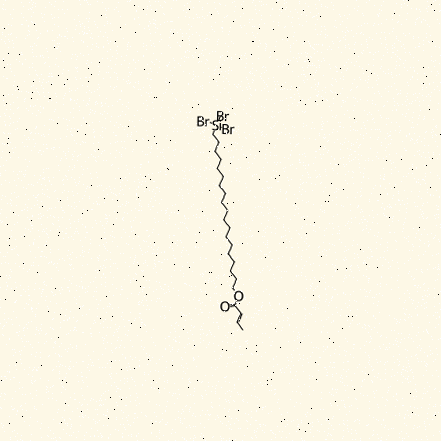 CC=CC(=O)OCCCCCCCCCCCCCCCCCCC[Si](Br)(Br)Br